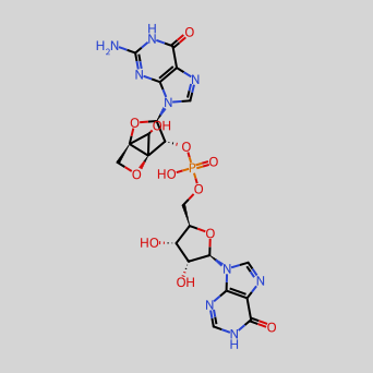 Nc1nc2c(ncn2[C@@H]2O[C@@]34CO[C@@]3(C4O)[C@H]2OP(=O)(O)OC[C@H]2O[C@@H](n3cnc4c(=O)[nH]cnc43)[C@H](O)[C@@H]2O)c(=O)[nH]1